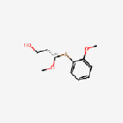 COc1ccccc1S[C@@H](CCO)OC